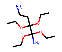 CCOC(N)(OCC)C(CCN)(OCC)OCC